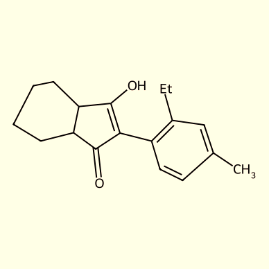 CCc1cc(C)ccc1C1=C(O)C2CCCCC2C1=O